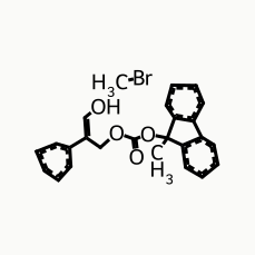 CBr.CC1(OC(=O)OCC(=CO)c2ccccc2)c2ccccc2-c2ccccc21